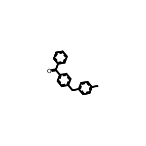 Cc1ccc(Cc2ccc(C(=O)c3ccccc3)cc2)cc1